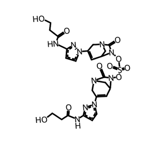 O=C(CCO)Nc1ccn(C2=CC3CN(C2)C(=O)N3OS(=O)(=O)ON2C(=O)N3CC(n4ccc(NC(=O)CCO)n4)=CC2C3)n1